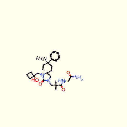 CN[C@]1(c2ccccc2)CC[C@]2(CC1)CN(CC(C)(C)C(=O)NCC(N)=O)C(=O)N2CC1(O)CCC1